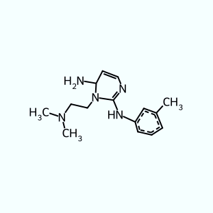 Cc1cccc(NC2=NC=CC(N)N2CCN(C)C)c1